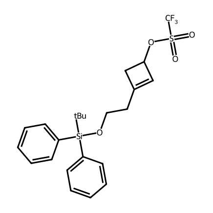 CC(C)(C)[Si](OCCC1=CC(OS(=O)(=O)C(F)(F)F)C1)(c1ccccc1)c1ccccc1